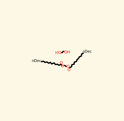 CCCCCCCCCCCCCCCCCCCCCC(=O)OCCOC(=O)CCCCCCCCCCCCCCCCCCCCC.OCCO